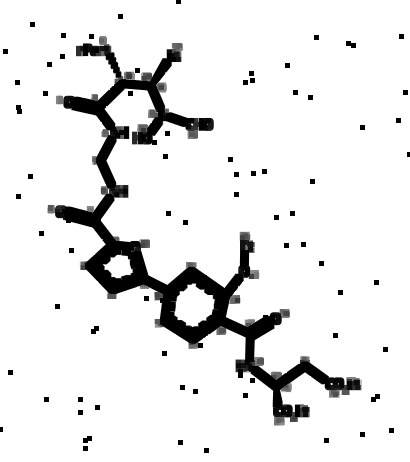 CCCCC[C@@H](C(=O)NCNC(=O)c1ccc(-c2ccc(C(=O)N[C@@H](CC(=O)OCC)C(=O)OCC)c(OCC)c2)o1)[C@@H](CC)N(O)C=O